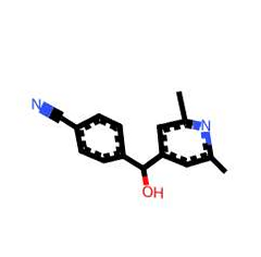 Cc1cc(C(O)c2ccc(C#N)cc2)cc(C)n1